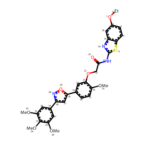 CCOc1ccc2sc(NC(=O)COc3cc(-c4cc(-c5cc(OC)c(OC)c(OC)c5)no4)ccc3OC)nc2c1